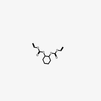 C=COC(=O)OC1CCCCC1OC(=O)OC=C